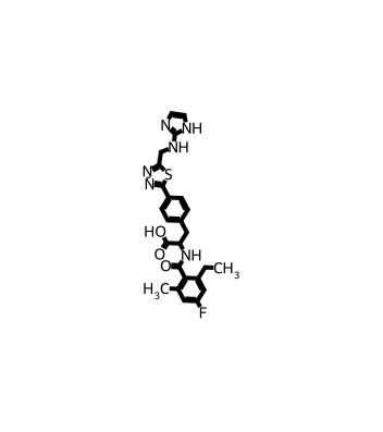 CCc1cc(F)cc(C)c1C(=O)NC(Cc1ccc(-c2nnc(CNc3ncc[nH]3)s2)cc1)C(=O)O